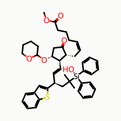 COC(=O)CCC/C=C\C[C@H]1C(=O)C[C@@H](OC2CCCCO2)[C@@H]1/C=C/[C@@H](CC(C)(C)[Si](O)(c1ccccc1)c1ccccc1)c1cc2ccccc2s1